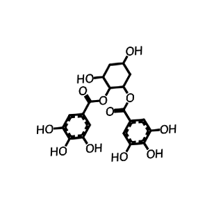 O=C(OC1CC(O)CC(O)C1OC(=O)c1cc(O)c(O)c(O)c1)c1cc(O)c(O)c(O)c1